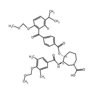 COCOc1ccc(C(C)C)c(F)c1C(=O)c1ccc(C(=O)O[C@@H]2CCCN(C(=O)O)C[C@H]2NC(=O)c2cc(C)c(OCOC)c(C)c2)cc1